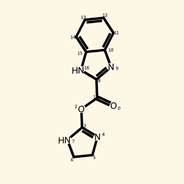 O=C(OC1=NCCN1)c1nc2ccccc2[nH]1